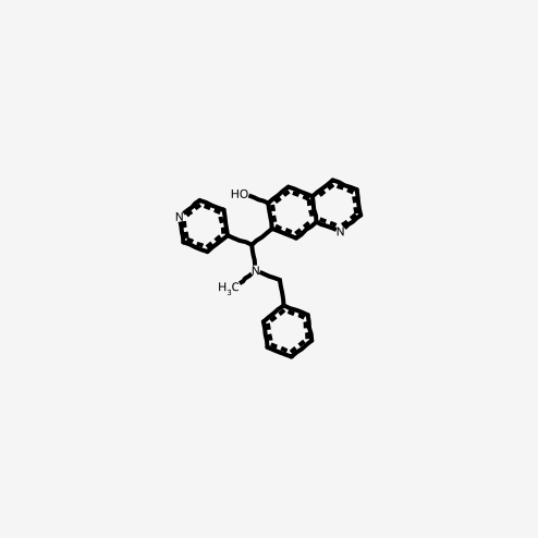 CN(Cc1ccccc1)C(c1ccncc1)c1cc2ncccc2cc1O